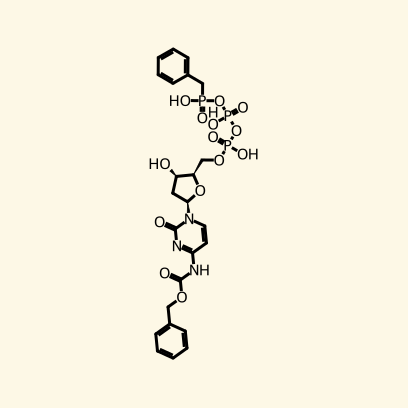 O=C(Nc1ccn([C@H]2C[C@@H](O)[C@@H](COP(=O)(O)OP(=O)(O)OP(=O)(O)Cc3ccccc3)O2)c(=O)n1)OCc1ccccc1